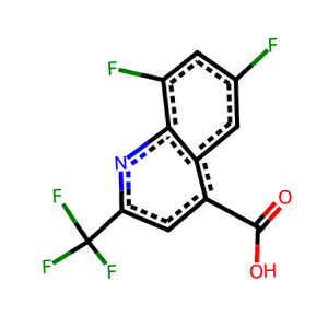 O=C(O)c1cc(C(F)(F)F)nc2c(F)cc(F)cc12